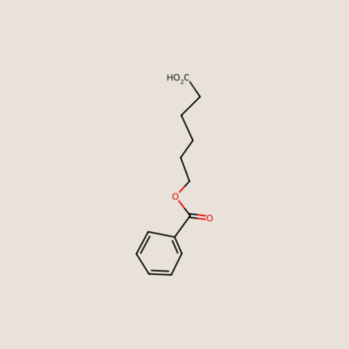 O=C(O)CCCCCOC(=O)c1ccccc1